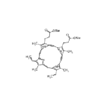 C=CC1=C(C)c2cc3[nH]c(cc4nc(cc5[nH]c(cc1n2)c(C)c5CCC(=O)OC)C(CCC(=O)OC)=C4C)c(C)c3C=C